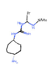 CNNC(NC(=N)N[C@H]1CC[C@H](N)CC1)C(C)C